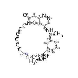 C[C@H]1Nc2cnnc3cc(=O)n(cc23)CCCCCC/C=C\CC(C)(O)C(F)(F)c2cccc1c2